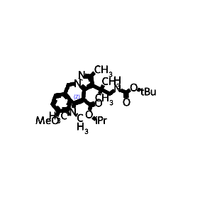 COc1ccc(Cn2nc(C)c(C(C)(C)CNC(=O)OC(C)(C)C)c2/C(=C/N(C)C)C(=O)OC(C)C)cc1